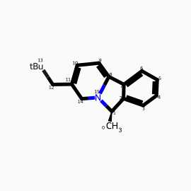 C[C@@H]1c2ccccc2C2=CC=C(CC(C)(C)C)CN21